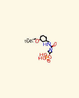 CCCCCCCCCCCOC1CCCC(CNC(=O)N2CC(OP(=O)(O)O)C2)C1